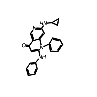 O=c1cc(Nc2ccccc2)n(-c2ccccc2)c2cc(NC3CC3)ncc12